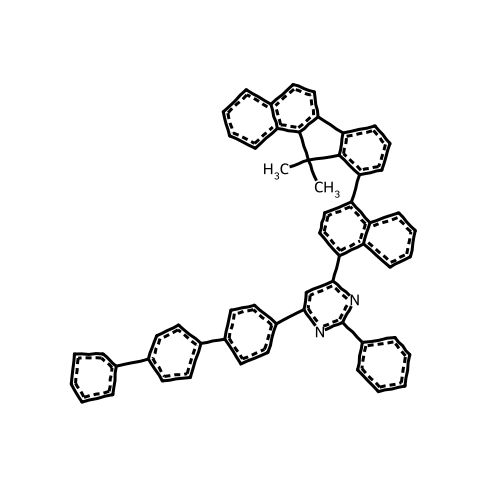 CC1(C)c2c(cccc2-c2ccc(-c3cc(-c4ccc(-c5ccc(-c6ccccc6)cc5)cc4)nc(-c4ccccc4)n3)c3ccccc23)-c2ccc3ccccc3c21